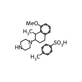 COc1cccc2c1C(C)C(N1CCNCC1)CC2.Cc1ccc(S(=O)(=O)O)cc1